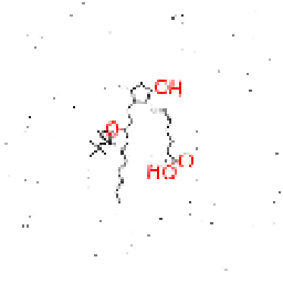 CCCCCCCC(CC[C@@H]1[C@@H](C/C=C\CCCC(=O)O)[C@@H](O)C[C@H]1C)O[Si](C)(C)C(C)(C)C